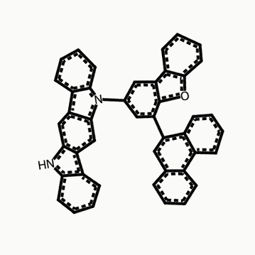 c1ccc2c(c1)cc(-c1cc(-n3c4ccccc4c4cc5[nH]c6ccccc6c5cc43)cc3c1oc1ccccc13)c1ccccc12